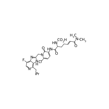 CC(C)Cc1ncc(F)c2nc(Cn3c(Cl)ccc(NC(=O)C(CCC=CC(=O)N(C)C)NC(=O)O)c3=O)[nH]c12